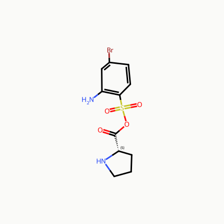 Nc1cc(Br)ccc1S(=O)(=O)OC(=O)[C@@H]1CCCN1